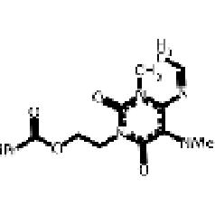 C/C=N\c1c(NC)c(=O)n(CCOC(=O)C(C)C)c(=O)n1C